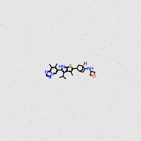 Cc1c(-c2[nH]c3sc(C4C[C@@H]5CC4CC5NC4COC4)c(C)c3c2C(C)C)cn2ncnc2c1C